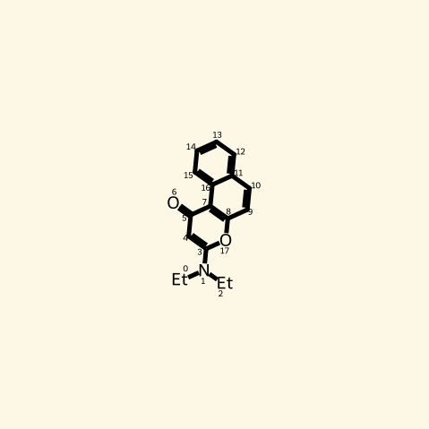 CCN(CC)c1cc(=O)c2c(ccc3ccccc32)o1